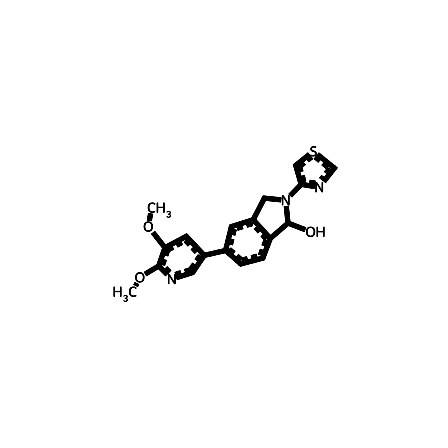 COc1cc(-c2ccc3c(c2)CN(c2cscn2)C3O)cnc1OC